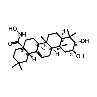 CC1(C)CC[C@]2(C(=O)NO)CC[C@]3(C)C(=CC[C@@H]4[C@@]5(C)C[C@H](O)[C@@H](O)C(C)(C)[C@@H]5CC[C@]43C)[C@@H]2C1